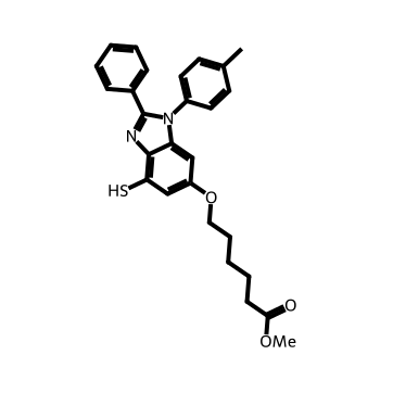 COC(=O)CCCCCOc1cc(S)c2nc(-c3ccccc3)n(-c3ccc(C)cc3)c2c1